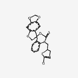 S=C1OC2(COc3cc4c(cc32)OCO4)c2ccccc2N1CC1CC=C(Cl)S1